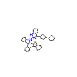 c1ccc(-c2ccc(-c3nc(-n4c5ccccc5c5c6ccccc6c6c7ccccc7sc6c54)nc4ccccc34)cc2)cc1